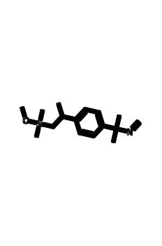 C=NC(C)(C)c1ccc(C(C)C[Si](C)(C)OC)cc1